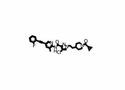 Cc1cc(C#Cc2ccccc2F)cnc1NC(=O)c1nn(CCC2CCN(C(=O)C3CC3)CC2)cc1Cl